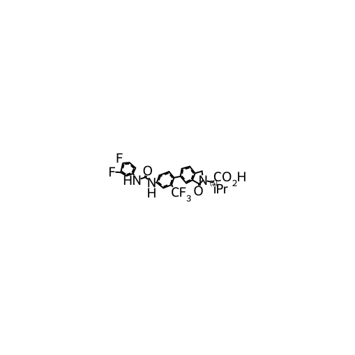 CC(C)[C@@H](C(=O)O)N1Cc2ccc(-c3ccc(NC(=O)Nc4ccc(F)c(F)c4)cc3C(F)(F)F)cc2C1=O